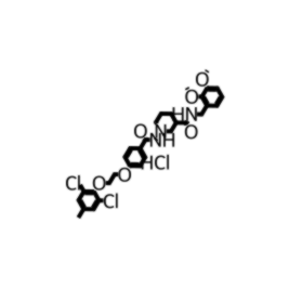 COc1cccc(CNC(=O)C2CCCN(NC(=O)c3ccc(OCCOc4c(Cl)cc(C)cc4Cl)cc3)C2)c1OC.Cl